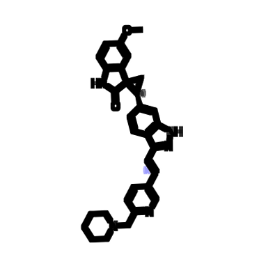 COc1ccc2c(c1)C1(C[C@H]1c1ccc3c(/C=C/c4ccc(CN5CCCCC5)nc4)n[nH]c3c1)C(=O)N2